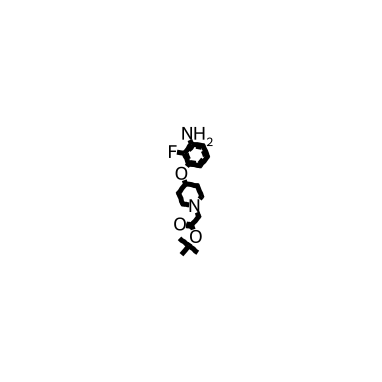 CC(C)(C)OC(=O)CN1CCC(Oc2cccc(N)c2F)CC1